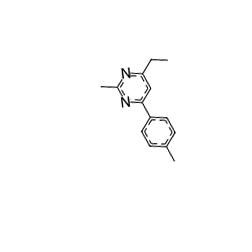 CCc1cc(-c2ccc(C)cc2)nc(C)n1